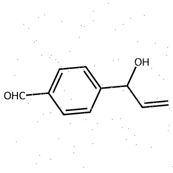 C=CC(O)c1ccc(C=O)cc1